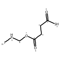 O=C(S)CCC(=O)OCPI